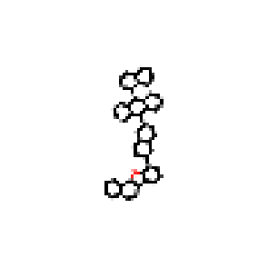 c1ccc2c(-c3c4ccccc4c(-c4ccc5cc(-c6cccc7c6oc6c8ccccc8ccc76)ccc5c4)c4ccccc34)cccc2c1